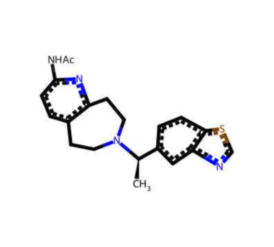 CC(=O)Nc1ccc2c(n1)CCN([C@H](C)c1ccc3scnc3c1)CC2